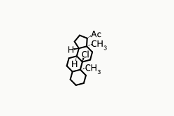 CC(=O)[C@H]1CC[C@H]2[C@@H]3CCC4CCCC[C@]4(C)[C@@]3(Cl)CC[C@]12C